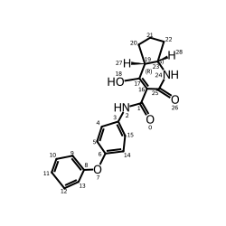 O=C(Nc1ccc(Oc2ccccc2)cc1)C1=C(O)[C@@H]2CCC[C@@H]2NC1=O